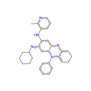 Cc1ncccc1Nc1cc2nc3c(n(-c4ccccc4)c-2c/c1=N\C1CCCCC1)=CCCC=3